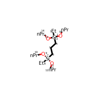 CCCO[Si](CC)(CCC[Si](CC)(OCCC)OCCC)OCCC